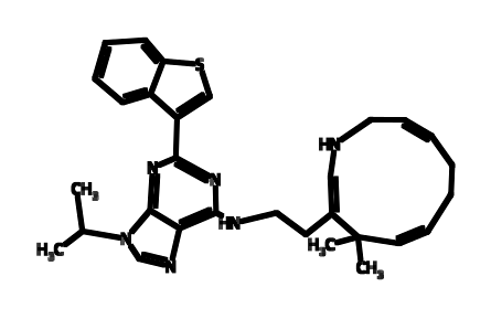 CC(C)n1cnc2c(NCC/C3=C/NC/C=C\CC/C=C\C3(C)C)nc(-c3csc4ccccc34)nc21